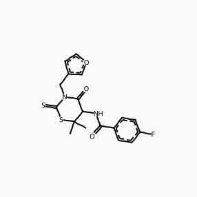 CC1(C)SC(=S)N(Cc2ccoc2)C(=O)C1NC(=O)c1ccc(F)cc1